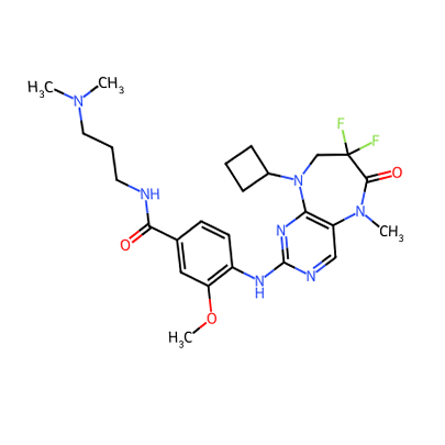 COc1cc(C(=O)NCCCN(C)C)ccc1Nc1ncc2c(n1)N(C1CCC1)CC(F)(F)C(=O)N2C